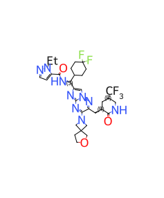 CCn1nccc1C(=O)N[C@H](c1cn2nc(C[C@H]3C[C@@H](C(F)(F)F)CNC3=O)c(N3CC4(CCOC4)C3)nc2n1)C1CCC(F)(F)CC1